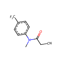 CN(C(=O)CC#N)c1ccc(C(F)(F)F)cc1